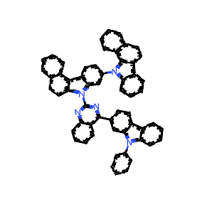 c1ccc(-n2c3ccccc3c3ccc(-c4nc(-n5c6cc(-n7c8ccccc8c8ccc9ccccc9c87)ccc6c6c7ccccc7ccc65)nc5ccccc45)cc32)cc1